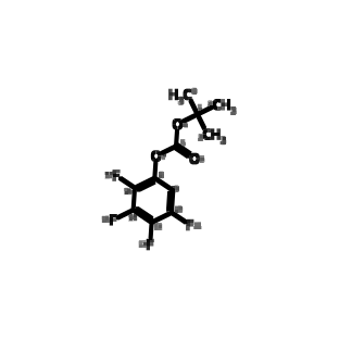 CC(C)(C)OC(=O)Oc1[c]c(F)c(F)c(F)c1F